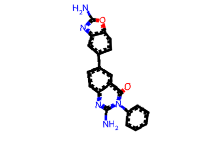 Nc1nc2cc(-c3ccc4nc(N)n(-c5ccccc5)c(=O)c4c3)ccc2o1